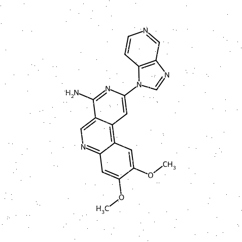 COc1cc2ncc3c(N)nc(-n4cnc5cnccc54)cc3c2cc1OC